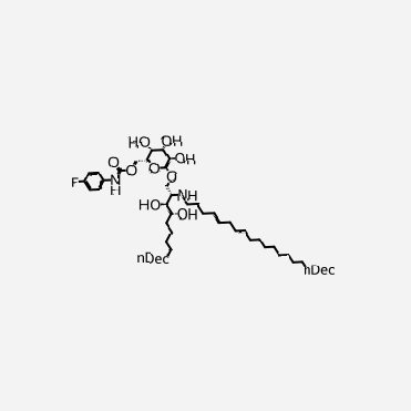 CCCCCCCCCCCCCCCCCCCCCCCCCCN[C@@H](CO[C@H]1O[C@H](COC(=O)Nc2ccc(F)cc2)[C@H](O)[C@H](O)[C@H]1O)[C@H](O)[C@H](O)CCCCCCCCCCCCCC